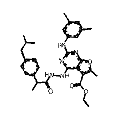 CCOC(=O)c1c(C)oc2nc(Nc3cc(C)cc(C)c3)nc(NNC(=O)C(C)c3ccc(CC(C)C)cc3)c12